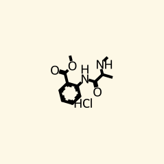 CNC(C)C(=O)Nc1ccccc1C(=O)OC.Cl